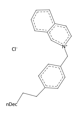 CCCCCCCCCCCCc1ccc(C[n+]2ccc3ccccc3c2)cc1.[Cl-]